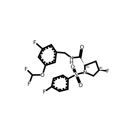 O=C(NCc1cc(F)cc(OC(F)F)c1)[C@@H]1C[C@@H](F)CN1S(=O)(=O)c1ccc(F)cc1